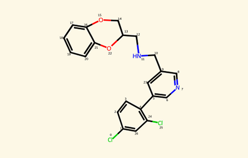 Clc1ccc(-c2cncc(CNCC3COc4ccccc4O3)c2)c(Cl)c1